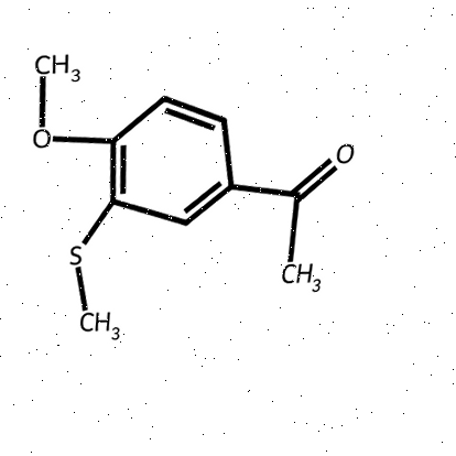 COc1ccc(C(C)=O)cc1SC